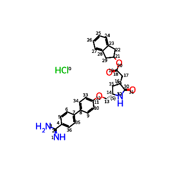 Cl.N=C(N)c1ccc(-c2ccc(OC[C@@H]3C[C@@H](CC(=O)OC4Cc5ccccc5C4)C(=O)N3)cc2)cc1